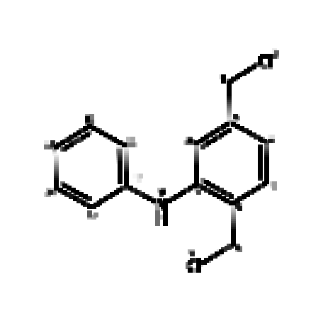 ClCc1ccc(CCl)c(Nc2ccccc2)c1